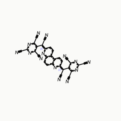 N#C/C(c1c(C#N)nc(C#N)nc1C#N)=c1/ccc2c(ccc3n/c(=C(/C#N)c4c(C#N)nc(C#N)nc4C#N)ccc32)n1